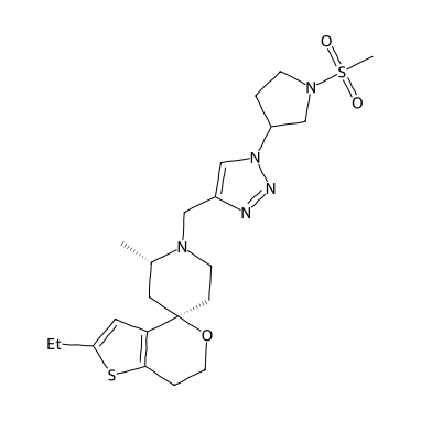 CCc1cc2c(s1)CCO[C@@]21CCN(Cc2cn(C3CCN(S(C)(=O)=O)C3)nn2)[C@@H](C)C1